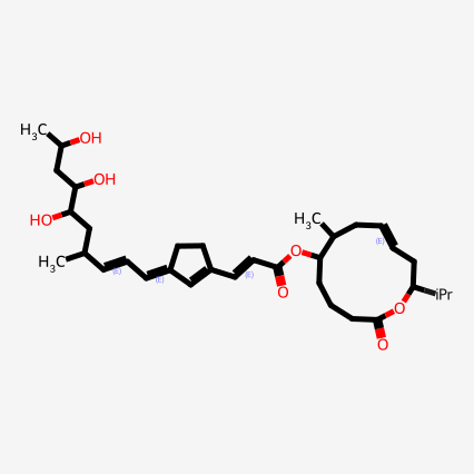 CC(O)CC(O)C(O)CC(C)/C=C/C=C1C=C(/C=C/C(=O)OC2CCCC(=O)OC(C(C)C)C/C=C/CC2C)CC/1